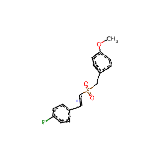 COc1ccc(CS(=O)(=O)/C=C/c2ccc(F)cc2)cc1